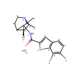 CC1(C)[C@H](NC(=O)c2cc3ccc(F)c(F)c3s2)C2CCN1CC2.Cl